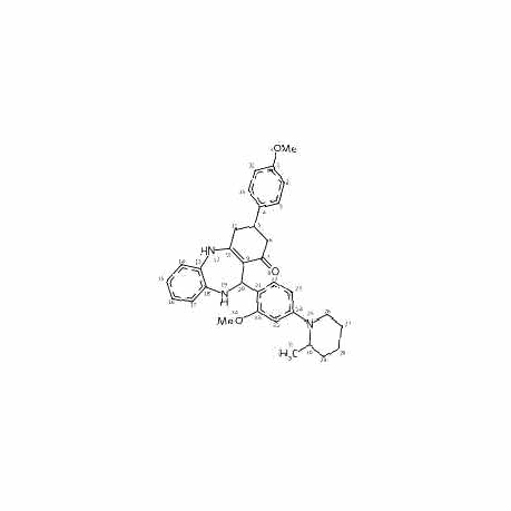 COc1ccc(C2CC(=O)C3=C(C2)Nc2ccccc2NC3c2ccc(N3CCCCC3C)cc2OC)cc1